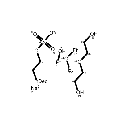 CCCCCCCCCCCCOS(=O)(=O)[O-].CCO.CCOCC.OCCOCCO.[Na+]